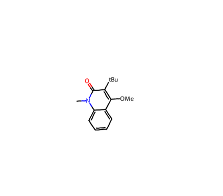 COc1c(C(C)(C)C)c(=O)n(C)c2ccccc12